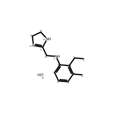 CCc1c(C)cccc1NCC1=NCCN1.Cl